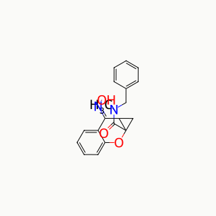 CN(Cc1ccccc1)C(=O)C12CC1C(=NO)c1ccccc1O2